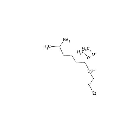 CCS[CH2][Sn+2][CH2]CCCC(C)N.C[O-].C[O-]